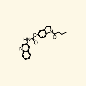 CCCC(=O)N1CCc2cc(OC(=O)Nc3cnc4ccccc4c3)ccc21